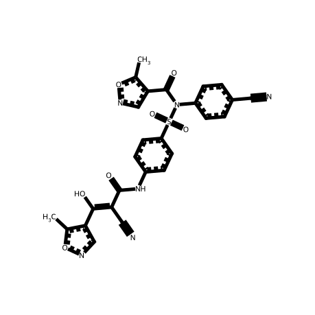 Cc1oncc1C(=O)N(c1ccc(C#N)cc1)S(=O)(=O)c1ccc(NC(=O)/C(C#N)=C(\O)c2cnoc2C)cc1